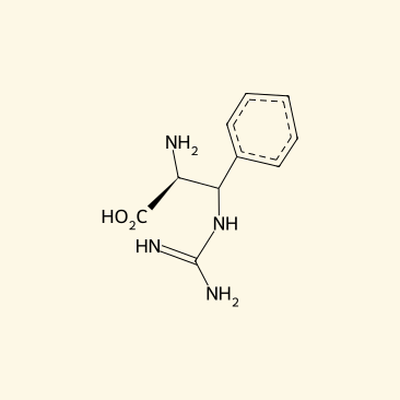 N=C(N)NC(c1ccccc1)[C@H](N)C(=O)O